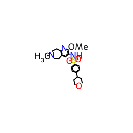 COc1nc2c(cc1NS(=O)(=O)c1ccc(C3CCOCC3)cc1)CCN(C)CC2